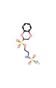 O=S(=O)(OCCNS(=O)(=O)C(F)(F)F)C1COc2ccccc2O1